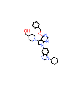 OCC1CCN(c2cn(-c3ccc4c(c3)ncn4C3CCCCC3)c3ncnc(OCc4ccccc4)c23)CC1